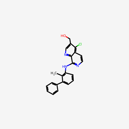 Cc1c(Nc2nccc3c(Cl)c(CO)cnc23)cccc1-c1ccccc1